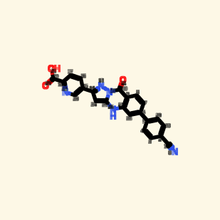 N#Cc1ccc(-c2ccc3c(=O)n4nc(-c5ccc(C(=O)O)nc5)cc4[nH]c3c2)cc1